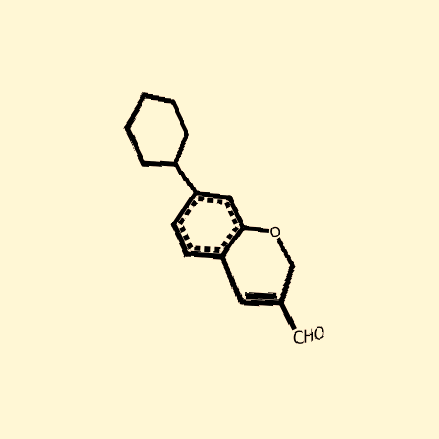 O=CC1=Cc2ccc(C3CCCCC3)cc2OC1